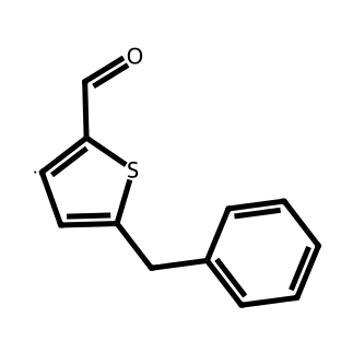 O=Cc1[c]cc(Cc2ccccc2)s1